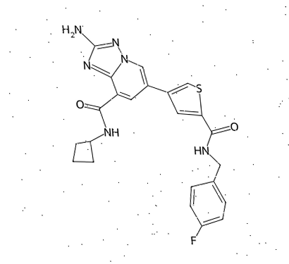 Nc1nc2c(C(=O)NC3CCC3)cc(-c3csc(C(=O)NCc4ccc(F)cc4)c3)cn2n1